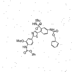 COc1cc(-c2ncc(-c3ccc(NC(=O)OCc4ccccc4)cc3S(=O)(=O)NC(C)(C)C)s2)ccc1NC(=O)OC(C)C